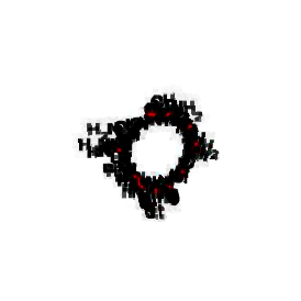 CCCC[C@H]1C(=O)N(C)[C@@H](CCCC)C(=O)N[C@@H](CCCNC(=N)N)C(=O)N[C@H](C(=O)NCC(N)=O)CSCC(=O)N[C@@H](Cc2ccc(O)cc2)C(=O)N(C)[C@@H](C)C(=O)N[C@@H](CC(N)=O)C(=O)N2CCC[C@H]2C(=O)N[C@@H](CN)C(=O)N[C@@H](CC(C)C)C(=O)N2CCC[C@H]2C(=O)N[C@@H](Cc2c[nH]c3ccccc23)C(=O)N[C@@H](CO)C(=O)N[C@@H](Cc2c(-c3ccc(OCC)cc3)[nH]c3ccccc23)C(=O)N1C